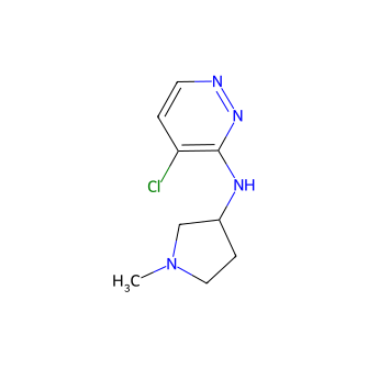 CN1CCC(Nc2nnccc2Cl)C1